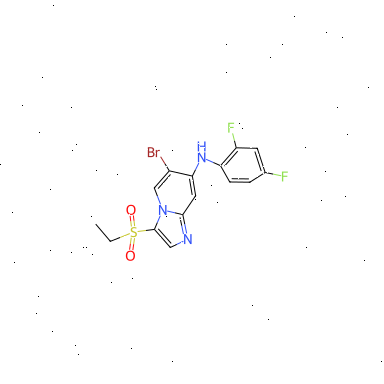 CCS(=O)(=O)c1cnc2cc(Nc3ccc(F)cc3F)c(Br)cn12